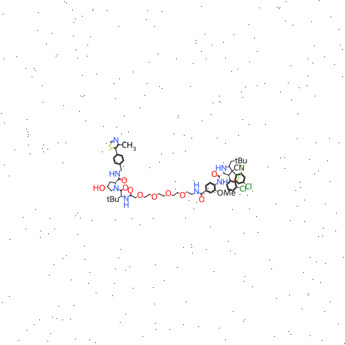 COc1cc(C(=O)NCCOCCOCCOCCOCC(=O)N[C@H](C(=O)N2C[C@H](O)C[C@H]2C(=O)NCc2ccc(-c3scnc3C)cc2)C(C)(C)C)ccc1NC(=O)[C@@H]1NC(CC(C)(C)C)[C@](C#N)(c2ccc(Cl)cc2F)[C@H]1c1cccc(Cl)c1F